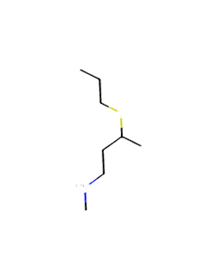 CCCSC(C)CCNC